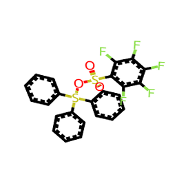 O=S(=O)(OS(c1ccccc1)(c1ccccc1)c1ccccc1)c1c(F)c(F)c(F)c(F)c1F